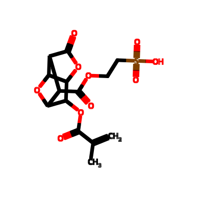 C=C(C)C(=O)OC1C2OC(=O)C3C2OC1C3C(=O)OCCS(=O)(=O)O